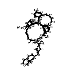 CO[C@H]1/C=C/C[C@H](C)C[S@@](=O)(NC(=O)N2CC(CN3CCN4CCOC[C@@H]4C3)C2)=NC(=O)c2ccc3c(c2)N(Cc2ccc(Cl)cc2CCCCO3)C[C@@H]2CC[C@H]21